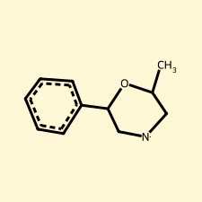 CC1C[N]CC(c2ccccc2)O1